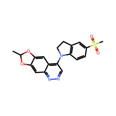 CC1Oc2cc3nncc(N4CCc5cc(S(C)(=O)=O)ccc54)c3cc2O1